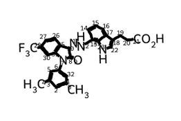 Cc1cc(C)cc(N2C(=O)C(=NNc3cccc4c(CCC(=O)O)c[nH]c34)c3ccc(C(F)(F)F)cc32)c1